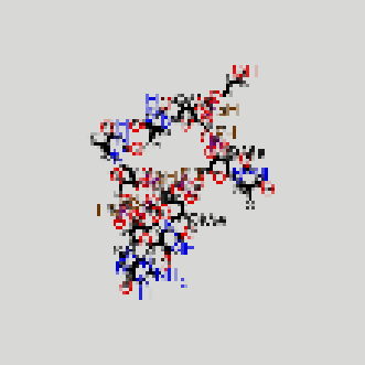 COC1[C@@H](OP(=O)(S)OCCCO)[C@@H](COP(=O)(S)O[C@@H]2C(OC)[C@H](n3cc(C)c(=O)[nH]c3=O)O[C@@H]2COP(=O)(S)O[C@@H]2C(OC)[C@H](n3cc(C)c(=O)[nH]c3=O)O[C@@H]2COP(=O)(S)O[C@@H]2C[C@H](n3cc(C)c(=O)[nH]c3=O)O[C@@H]2COP(=O)(S)O[C@@H]2C[C@H](n3cnc4c(=O)[nH]c(N)nc43)O[C@@H]2COP(=O)(S)OC(C)C)O[C@H]1n1cc(C)c(=O)[nH]c1=O